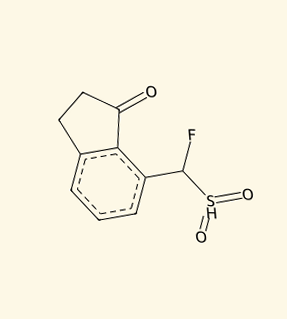 O=C1CCc2cccc(C(F)[SH](=O)=O)c21